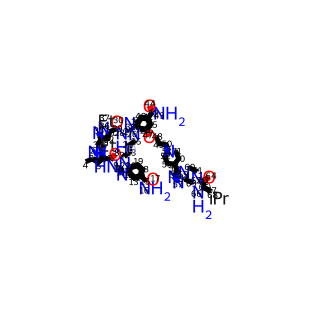 CCn1nc(C)cc1C(=O)Nc1nc2cc(C(N)=O)ccc2n1C/C=C/Cn1c(NC(=O)c2cc(C)nn2CC)nc2cc(C(N)=O)cc(OCCCN3CCC(c4nnc5n4CCN(C(=O)[C@@H](N)CC(C)C)C5)CC3)c21